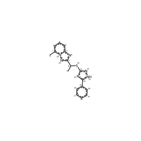 Cc1cccc2nc(C(C)Sc3n[nH]c(-c4ccccc4)n3)nn12